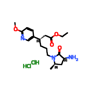 CCOC(=O)C[C@H](CCCN1C(=O)[C@@H](N)C[C@H]1C)c1ccc(OC)nc1.Cl.Cl